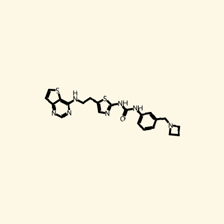 O=C(Nc1cccc(CN2CCC2)c1)Nc1ncc(CCNc2ncnc3ccsc23)s1